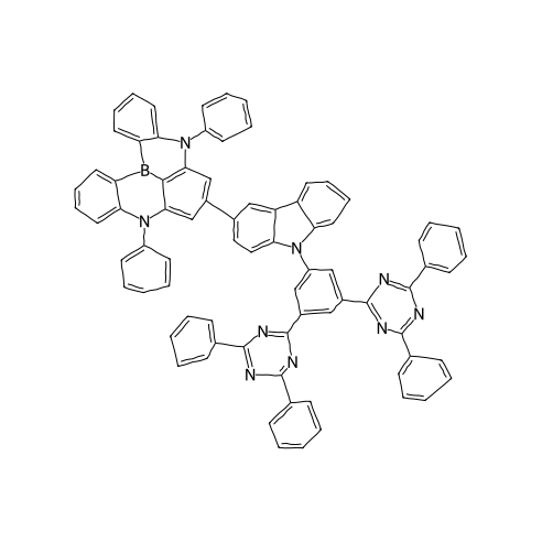 c1ccc(-c2nc(-c3ccccc3)nc(-c3cc(-c4nc(-c5ccccc5)nc(-c5ccccc5)n4)cc(-n4c5ccccc5c5cc(-c6cc7c8c(c6)N(c6ccccc6)c6ccccc6B8c6ccccc6N7c6ccccc6)ccc54)c3)n2)cc1